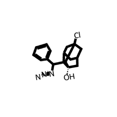 [N-]=[N+]=NC(c1ccccc1)C1C2CC3CC(Cl)(C2)C[C@@]1(O)C3